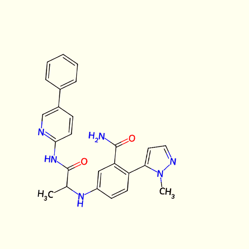 CC(Nc1ccc(-c2ccnn2C)c(C(N)=O)c1)C(=O)Nc1ccc(-c2ccccc2)cn1